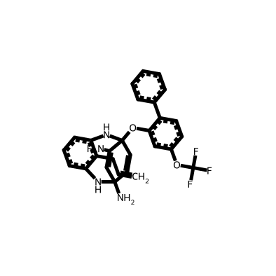 C=CCc1c2cccc1NC1(Oc3cc(OC(F)(F)F)ccc3-c3ccccc3)C=CC(N)(C=C1N)N2